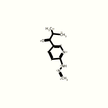 C=NNc1ccc(C(=O)C(C)C)cn1